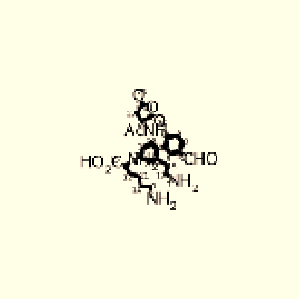 CC(=O)Nc1ccc(C=O)cc1.NCCCC[C@H](N)C(=O)O.NCCc1ccccc1.O=C1CCC(=O)O1